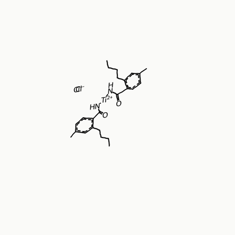 CCCCc1cc(C)ccc1C(=O)[NH][Ti+2][NH]C(=O)c1ccc(C)cc1CCCC.[Cl-].[Cl-]